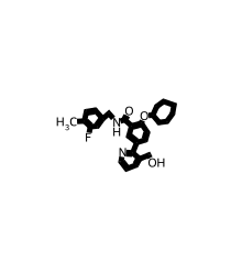 Cc1ccc(CNC(=O)c2cc(-c3ncccc3CO)ccc2OC2CCCCCC2)cc1F